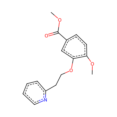 COC(=O)c1ccc(OC)c(OCCc2ccccn2)c1